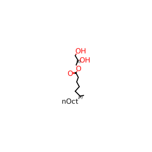 CCCCCCCC[C@@H](C)CCCCC(=O)OC[C@@H](O)CO